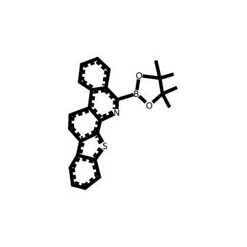 CC1(C)OB(c2nc3c(ccc4c5ccccc5sc43)c3ccccc23)OC1(C)C